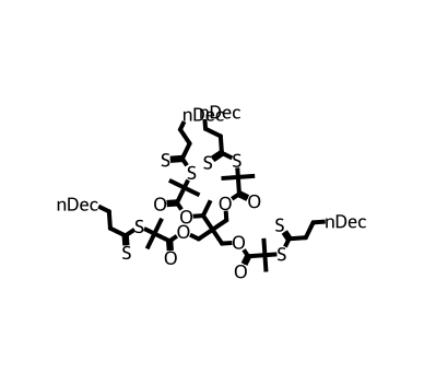 CCCCCCCCCCCCC(=S)SC(C)(C)C(=O)OCC(COC(=O)C(C)(C)SC(=S)CCCCCCCCCCCC)(COC(=O)C(C)(C)SC(=S)CCCCCCCCCCCC)C(C)OC(=O)C(C)(C)SC(=S)CCCCCCCCCCCC